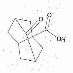 O=C1C2CC3CC1CC3(C(=O)O)C2